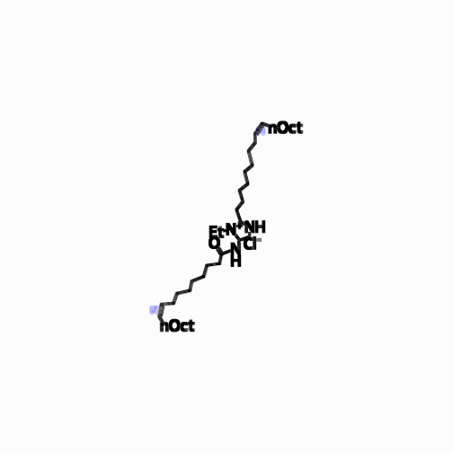 CCCCCCCC/C=C\CCCCCCCCC1=[N+](CC)C(NC(=O)CCCCCCC/C=C\CCCCCCCC)CN1.[Cl-]